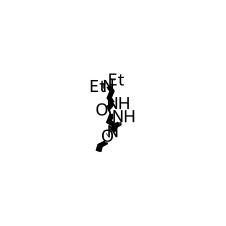 C=CCO/N=C1/CN[C@H](C(=O)NCCN(CC)CC)C1